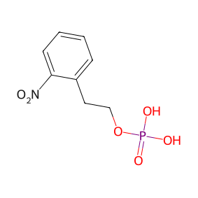 O=[N+]([O-])c1ccccc1CCOP(=O)(O)O